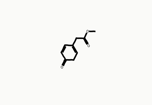 COC(=O)CC1=CCC(=O)C=C1